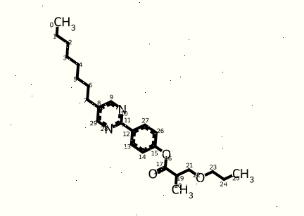 CCCCCCCCc1cnc(-c2ccc(OC(=O)C(C)COCCC)cc2)nc1